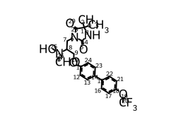 CC1(C)NC(=O)N(CC(COc2ccc(-c3ccc(OC(F)(F)F)cc3)cc2)N(O)C=O)C1=O